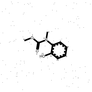 COC(=O)N(C)c1ccccc1O